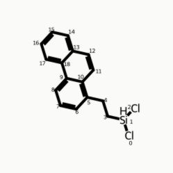 Cl[SiH](Cl)CCc1cccc2c1ccc1ccccc12